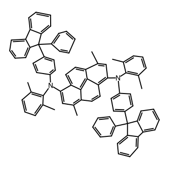 Cc1cccc(C)c1N(c1ccc(C2(c3ccccc3)c3ccccc3-c3ccccc32)cc1)c1cc(C)c2ccc3c(N(c4ccc(C5(c6ccccc6)c6ccccc6-c6ccccc65)cc4)c4c(C)cccc4C)cc(C)c4ccc1c2c43